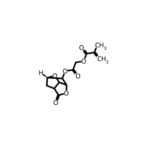 C=C(C)C(=O)OCC(=O)OC1C2OC(=O)C3C[C@@H]1OC32